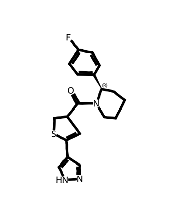 O=C(C1C=C(c2cn[nH]c2)SC1)N1CCCC[C@@H]1c1ccc(F)cc1